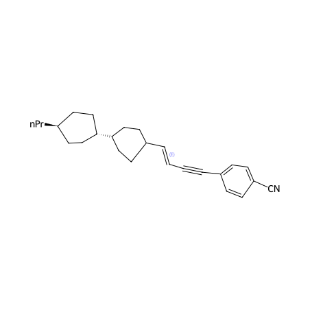 CCC[C@H]1CC[C@H](C2CCC(/C=C/C#Cc3ccc(C#N)cc3)CC2)CC1